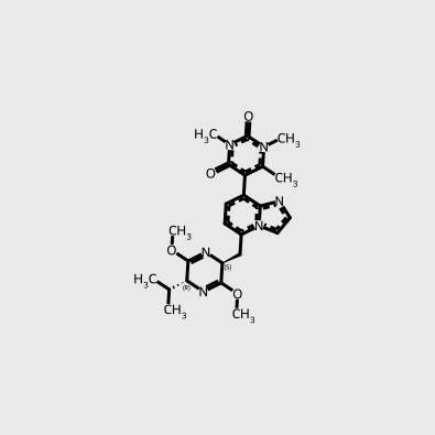 COC1=N[C@H](C(C)C)C(OC)=N[C@H]1Cc1ccc(-c2c(C)n(C)c(=O)n(C)c2=O)c2nccn12